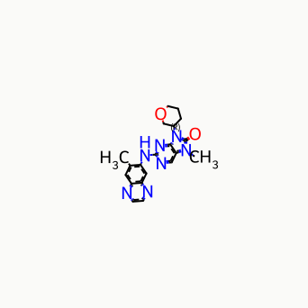 Cc1cc2nccnc2cc1Nc1ncc2c(n1)n([C@@H]1CCCOC1)c(=O)n2C